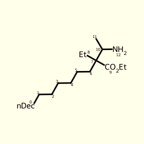 CCCCCCCCCCCCCCCCC(CC)(C(=O)OCC)C(C)N